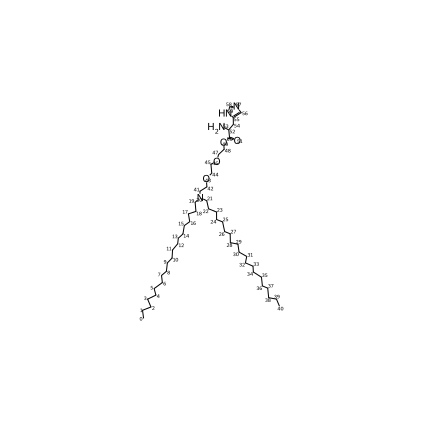 CCCCCCCCCCCCCCCCCCCCN(CCCCCCCCCCCCCCCCCCCC)CCOCCOCCOC(=O)C(N)Cc1cnc[nH]1